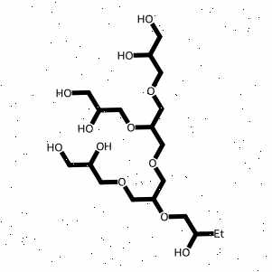 CCC(O)COC(COCC(O)CO)COCC(COCC(O)CO)OCC(O)CO